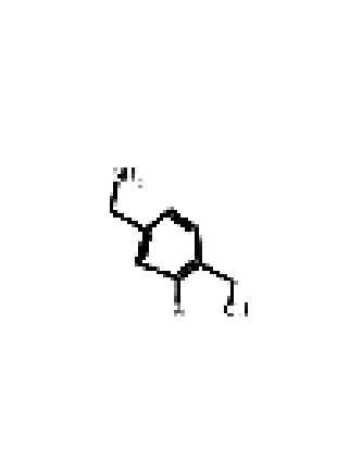 NCc1ccc(CO)c(Br)c1